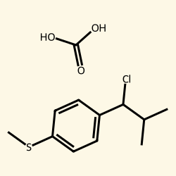 CSc1ccc(C(Cl)C(C)C)cc1.O=C(O)O